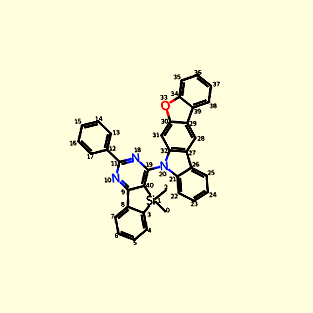 C[Si]1(C)c2ccccc2-c2nc(-c3ccccc3)nc(-n3c4ccccc4c4cc5c(cc43)oc3ccccc35)c21